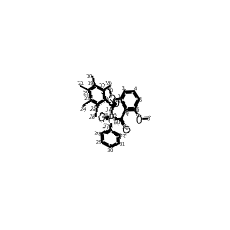 COc1cccc(OC)c1C(=O)P(=O)(C(=O)c1c(C)c(C)c(C)c(C)c1C)c1ccccc1